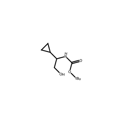 CC(C)(C)OC(=O)NC(CO)C1CC1